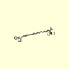 CC(C)C(CCCCCCCCCCCCCCCCCC(=O)Cl)C(=O)Cl